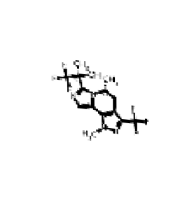 C[C@@H]1Cc2c(C(F)(F)F)nn(C)c2-c2cnc([C@](C)(O)C(F)(F)F)n21